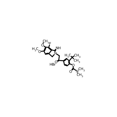 Br.COc1cc2c(c(F)c1OC)C(=N)N(CC(=O)c1ccc(OC(=O)N(C)C)c(C(C)(C)C)c1)C2